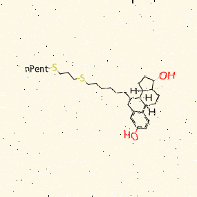 CCCCCSCCCSCCCCCC[C@@H]1Cc2cc(O)ccc2[C@H]2CC[C@]3(C)[C@@H](O)CC[C@H]3[C@H]12